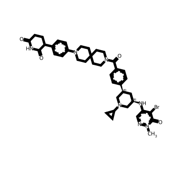 Cn1ncc(N[C@@H]2C[C@H](c3ccc(C(=O)N4CCC5(CC4)CCN(c4ccc(C6CCC(=O)NC6=O)cc4)CC5)cc3)CN(C3CC3)C2)c(Br)c1=O